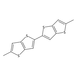 Cc1cc2sc(-c3cc4sc(C)cc4s3)cc2s1